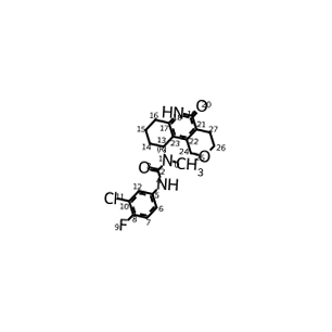 CN(C(=O)Nc1ccc(F)c(Cl)c1)[C@@H]1CCCc2[nH]c(=O)c3c(c21)COCC3